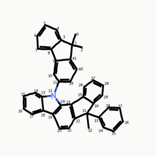 CC1(C)c2ccccc2-c2cc(-n3c4ccccc4c4ccc5c(c43)-c3ccccc3C5(C)c3ccccc3)ccc21